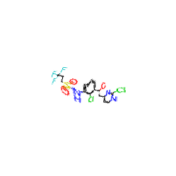 O=C(Cc1ccnc(Cl)n1)c1cccc(NS(=O)(=O)CCC(F)(F)F)c1Cl